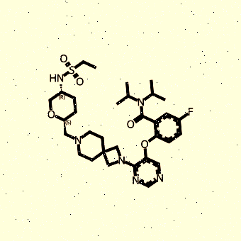 CCS(=O)(=O)N[C@@H]1CC[C@@H](CN2CCC3(CC2)CN(c2ncncc2Oc2ccc(F)cc2C(=O)N(C(C)C)C(C)C)C3)OC1